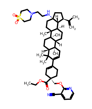 C=C(C)[C@@H]1CC[C@]2(NCCN3CCS(=O)(=O)CC3)CC[C@]3(C)[C@H](CC[C@@H]4[C@@]5(C)CC=C(C6=CC[C@](COc7ncccc7C#N)(C(=O)OCC)CC6)C(C)(C)[C@@H]5CC[C@]43C)[C@@H]12